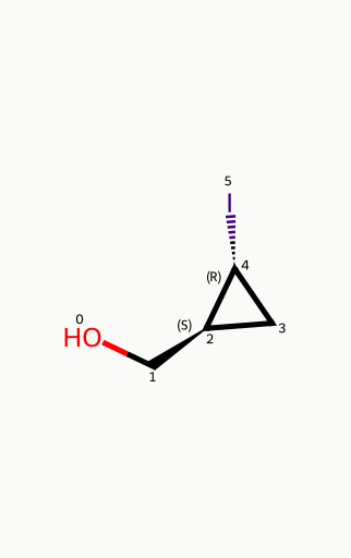 OC[C@@H]1C[C@H]1I